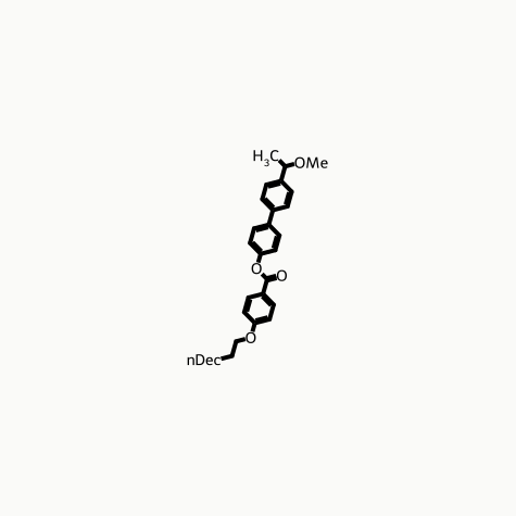 CCCCCCCCCCCCOc1ccc(C(=O)Oc2ccc(-c3ccc(C(C)OC)cc3)cc2)cc1